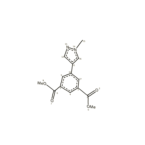 COC(=O)c1cc(C(=O)OC)cc(-c2cnn(C)c2)c1